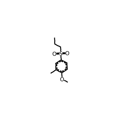 CCCS(=O)(=O)c1ccc(OC)c(C)c1